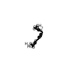 CCOC(Cc1ccc(OC/C=C\c2ccc3c(c2)Cc2cc(/C=C/COc4ccc(CC(OCC)C(=O)O)cc4)ccc2-3)cc1)C(=O)O